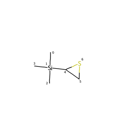 C[Si](C)(C)C1CS1